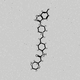 Cc1ccc2c(N3CCN(CCC4CCC(NC(=O)CC5COCCO5)CC4)CC3)noc2c1